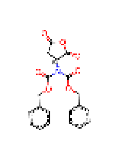 O=C1C[C@H](N(C(=O)OCc2ccccc2)C(=O)OCc2ccccc2)C(=O)O1